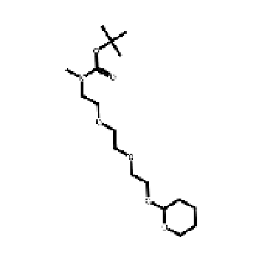 CN(CCOCCOCCOC1CCCCO1)C(=O)OC(C)(C)C